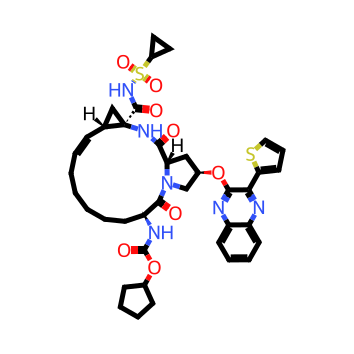 O=C(N[C@H]1CCCCC/C=C\[C@@H]2C[C@@]2(C(=O)NS(=O)(=O)C2CC2)NC(=O)[C@@H]2C[C@@H](Oc3nc4ccccc4nc3-c3cccs3)CN2C1=O)OC1CCCC1